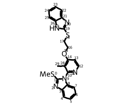 CSc1nc2ccccc2n1-c1nccc(OCCSc2nc3ccccc3[nH]2)c1C